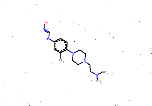 CN(C)CCN1CCN(c2ccc(N/C=N/O)cc2C(F)(F)F)CC1